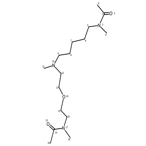 CC(=O)N(C)CCCCCN(C)CCOCCN(C)C(C)=O